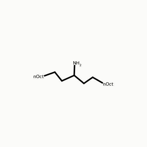 CCCCCCCCCCC(N)CCCCCCCCCC